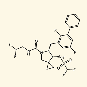 O=C(NCC(F)F)N1CC2(CC2)[C@H](NS(=O)(=O)C(F)F)[C@@H]1Cc1cc(F)cc(-c2ccccc2)c1F